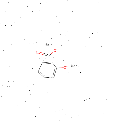 O=C[O-].[Na+].[Na+].[O-]c1ccccc1